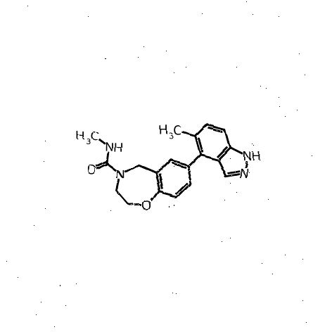 CNC(=O)N1CCOc2ccc(-c3c(C)ccc4[nH]ncc34)cc2C1